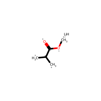 COC(=O)C(C)C.[LiH]